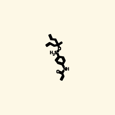 C=CCC(C)(CC=C)O[SiH2]c1ccc(NC(=O)C=C)cc1